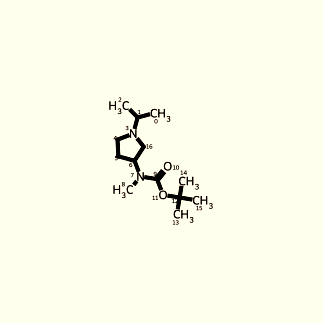 CC(C)N1CCC(N(C)C(=O)OC(C)(C)C)C1